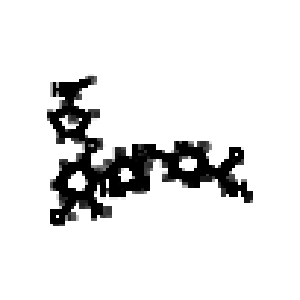 CN[C@@H]1CC[C@@H](Oc2ccc(Cl)c(F)c2-c2cc(Nc3cnc(C(N)=O)cn3)n[nH]2)C1